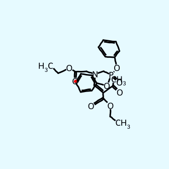 CCOC(=O)CN(/C=C(\C(C)=O)C(=O)OCC)CP(=O)(Oc1ccccc1)Oc1ccccc1